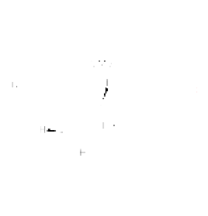 CO[C@H]1C[C@]2(C)/C(=C\C#N)CC[C@H]2[C@@H]2CC=C3CC(=O)CC[C@]3(C)[C@H]21